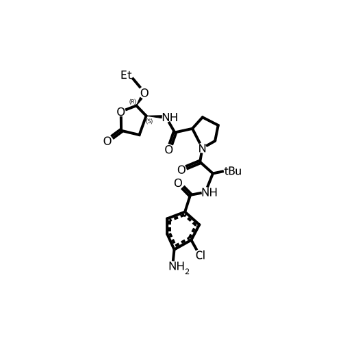 CCO[C@@H]1OC(=O)C[C@@H]1NC(=O)C1CCCN1C(=O)C(NC(=O)c1ccc(N)c(Cl)c1)C(C)(C)C